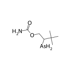 CC(C)(C)C([AsH2])COC(N)=O